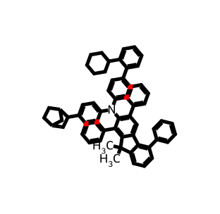 CC1(C)c2cccc(-c3ccccc3)c2-c2cc(-c3ccccc3)c(N(c3ccc(-c4ccccc4C4CCCCC4)cc3)c3ccc(C4CC5CCC4C5)cc3)c(-c3ccccc3)c21